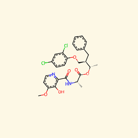 COc1ccnc(C(=O)N[C@@H](C)C(=O)O[C@@H](C)[C@@H](COc2ccc(Cl)cc2Cl)Cc2ccccc2)c1O